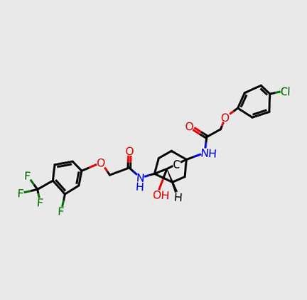 O=C(COc1ccc(Cl)cc1)NC12CCC(NC(=O)COc3ccc(C(F)(F)F)c(F)c3)(CC1)[C@@H](O)C2